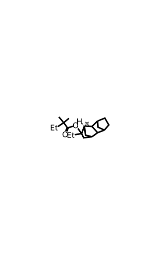 CCC(C)(C)C(=O)OC1(CC)CC2C[C@@H]1C1C3CCC(C3)C21